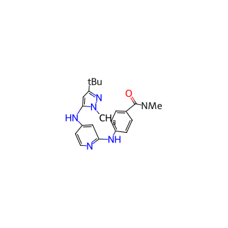 CNC(=O)c1ccc(Nc2cc(Nc3cc(C(C)(C)C)nn3C)ccn2)cc1